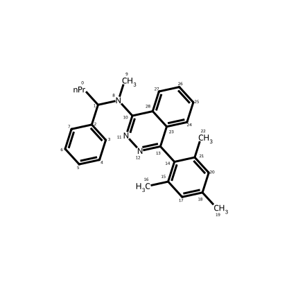 CCCC(c1ccccc1)N(C)c1nnc(-c2c(C)cc(C)cc2C)c2ccccc12